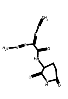 B/B=B\C(=B/B=C)C(=O)NC1CCC(=O)NC1=O